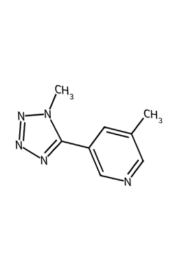 Cc1cncc(-c2nnnn2C)c1